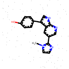 Cn1ccnc1-c1cnc2[nH]cc(-c3ccc(O)cc3)c2c1